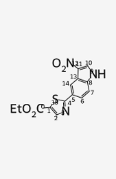 CCOC(=O)c1cnc(-c2ccc3[nH]cc([N+](=O)[O-])c3c2)s1